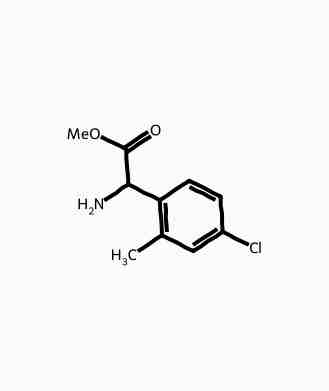 COC(=O)C(N)c1ccc(Cl)cc1C